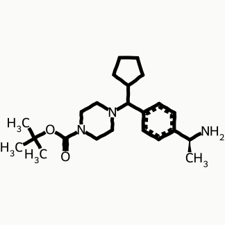 C[C@H](N)c1ccc(C(C2CCCC2)N2CCN(C(=O)OC(C)(C)C)CC2)cc1